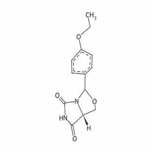 CCOc1ccc(C2OC[C@@H]3C(=O)NC(=O)N23)cc1